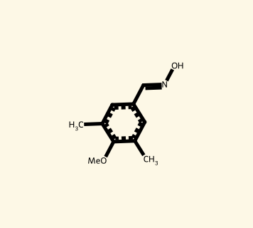 COc1c(C)cc(/C=N/O)cc1C